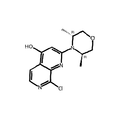 C[C@@H]1COC[C@@H](C)N1c1cc(O)c2ccnc(Cl)c2n1